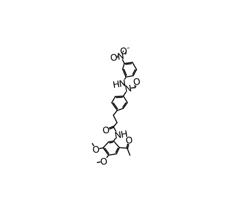 COc1cc(NC(=O)CCc2ccc(N(C=O)Nc3cccc([N+](=O)[O-])c3)cc2)c(C(C)=O)cc1OC